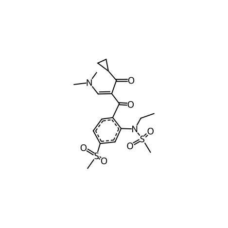 CCN(c1cc(S(C)(=O)=O)ccc1C(=O)/C(=C/N(C)C)C(=O)C1CC1)S(C)(=O)=O